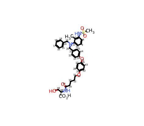 Cc1c(NS(C)(=O)=O)cccc1N(Cc1ccccc1)Cc1ccc(Oc2ccc(OCCCCC(=O)N[C@@H](CO)C(=O)O)cc2)cc1